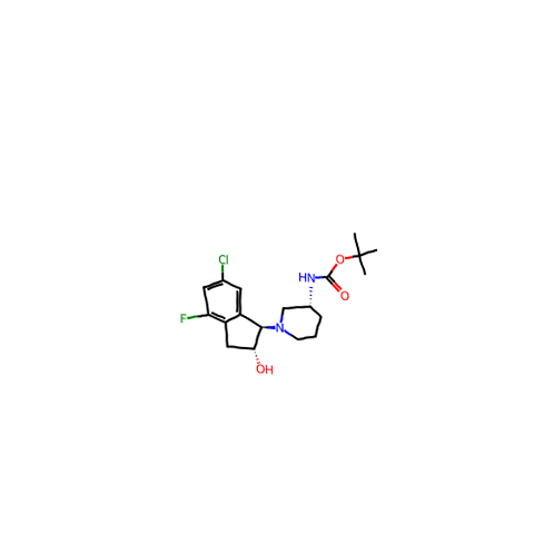 CC(C)(C)OC(=O)N[C@@H]1CCCN([C@@H]2c3cc(Cl)cc(F)c3C[C@H]2O)C1